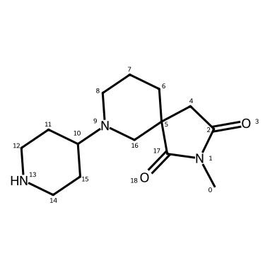 CN1C(=O)CC2(CCCN(C3CCNCC3)C2)C1=O